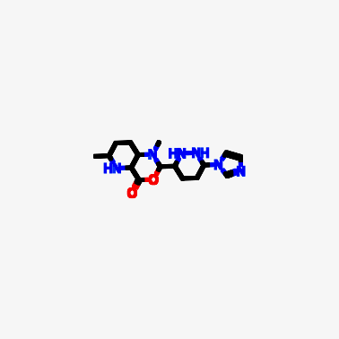 CC1CCC2C(N1)C(=O)OC(C1CCC(n3ccnc3)NN1)N2C